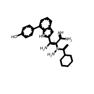 C=C(C1CCCCC1)N(N)/C(C(=N)N)=C(\N)c1cc2cccc(-c3ccc(O)cc3)c2[nH]1